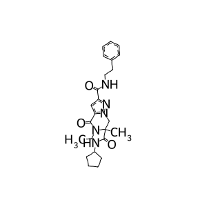 CCN1C(=O)c2cc(C(=O)NCCc3ccccc3)nn2CC1(C)C(=O)NC1CCCC1